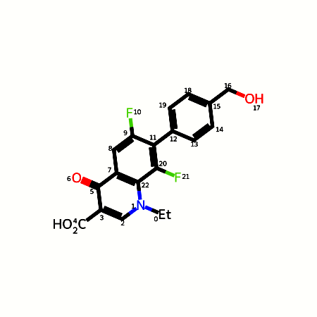 CCn1cc(C(=O)O)c(=O)c2cc(F)c(-c3ccc(CO)cc3)c(F)c21